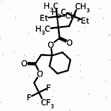 CCC(C)(C)CC(C)(C(=O)OC1(CC(=O)OCC(F)(F)C(F)(F)F)CCCCC1)C(C)(C)CC